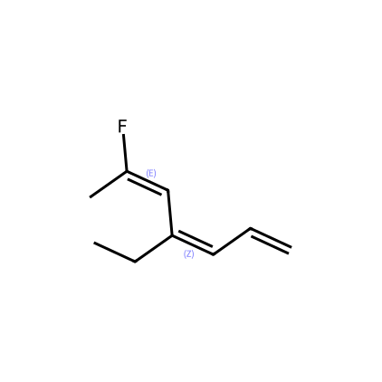 C=C/C=C(\C=C(/C)F)CC